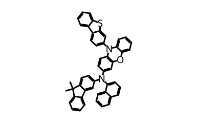 CC1(C)c2ccccc2-c2cc(N(c3ccc4c(c3)Oc3ccccc3N4c3ccc4c(c3)sc3ccccc34)c3cccc4ccccc34)ccc21